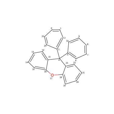 c1ccc(C2(c3ccccc3)c3ccccc3Oc3ccccc32)cc1